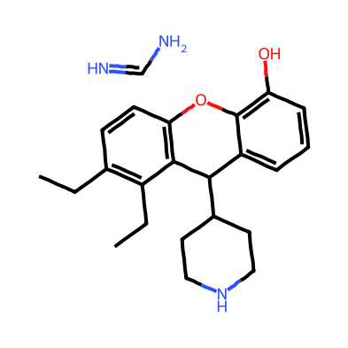 CCc1ccc2c(c1CC)C(C1CCNCC1)c1cccc(O)c1O2.N=CN